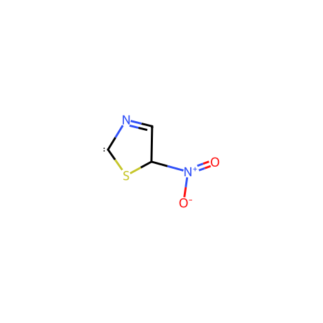 O=[N+]([O-])C1C=N[C]S1